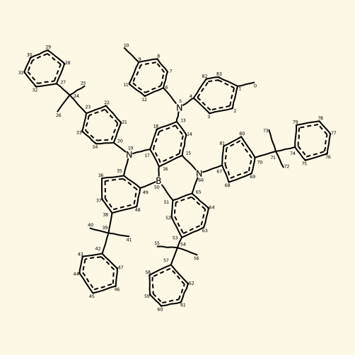 Cc1ccc(N(c2ccc(C)cc2)c2cc3c4c(c2)N(c2ccc(C(C)(C)c5ccccc5)cc2)c2ccc(C(C)(C)c5ccccc5)cc2B4c2cc(C(C)(C)c4ccccc4)ccc2N3c2ccc(C(C)(C)c3ccccc3)cc2)cc1